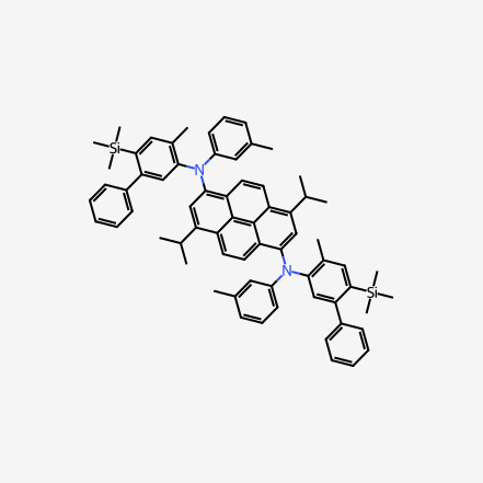 Cc1cccc(N(c2cc(-c3ccccc3)c([Si](C)(C)C)cc2C)c2cc(C(C)C)c3ccc4c(N(c5cccc(C)c5)c5cc(-c6ccccc6)c([Si](C)(C)C)cc5C)cc(C(C)C)c5ccc2c3c54)c1